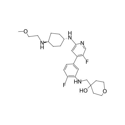 COCCN[C@H]1CC[C@H](Nc2cc(-c3ccc(F)c(NCC4(O)CCOCC4)c3)c(F)cn2)CC1